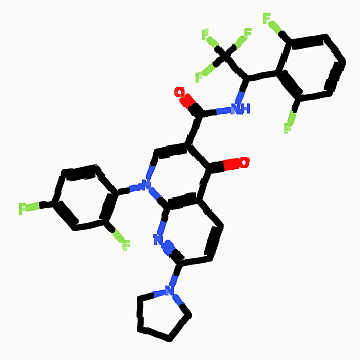 O=C(NC(c1c(F)cccc1F)C(F)(F)F)c1cn(-c2ccc(F)cc2F)c2nc(N3CCCC3)ccc2c1=O